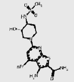 CCCc1cc(N2CCC(NS(C)(=O)=O)[C@@H](O)C2)nc2sc(C(N)=O)c(N)c12